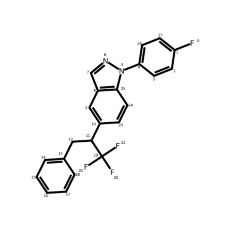 Fc1ccc(-n2ncc3cc([C](Cc4ccccc4)C(F)(F)F)ccc32)cc1